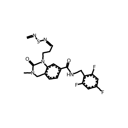 C=NS/N=C\CCN1C(=O)N(C)Cc2ccc(C(=O)NCc3c(F)cc(F)cc3F)cc21